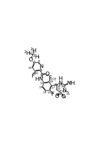 [2H]C([2H])([2H])Oc1cnc(C(=O)Nc2ccc(F)c([C@]3(C)CS(=O)(=O)N(C)C(=N)N3)c2F)c(F)c1